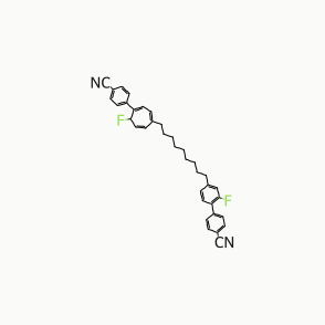 N#Cc1ccc(C2=CC=C(CCCCCCCCCc3ccc(-c4ccc(C#N)cc4)c(F)c3)C=CC2F)cc1